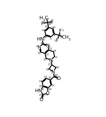 CC(F)(F)c1cc(Nc2ncc3c(n2)CCN(C2CN(C(=O)c4ccc5[nH]c(=O)oc5c4)C2)C3)cc(C(C)(F)F)c1